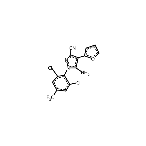 N#Cc1nn(-c2c(Cl)cc(C(F)(F)F)cc2Cl)c(N)c1-c1ccco1